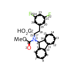 COC(=O)N(C1c2ccccc2-c2ccccc21)[C@@H](Cc1cc(F)cc(F)c1)C(=O)O